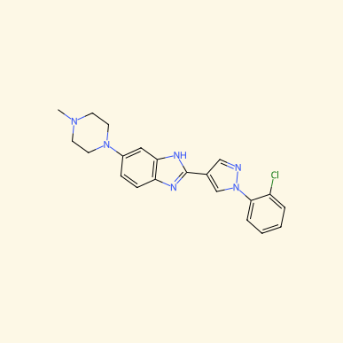 CN1CCN(c2ccc3nc(-c4cnn(-c5ccccc5Cl)c4)[nH]c3c2)CC1